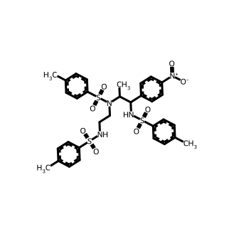 Cc1ccc(S(=O)(=O)NCCN(C(C)C(NS(=O)(=O)c2ccc(C)cc2)c2ccc([N+](=O)[O-])cc2)S(=O)(=O)c2ccc(C)cc2)cc1